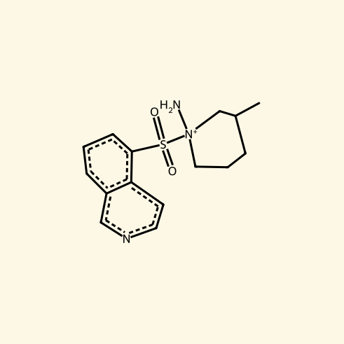 CC1CCC[N+](N)(S(=O)(=O)c2cccc3cnccc23)C1